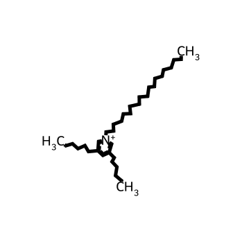 CCCCCCCCCCCCCCCCCCC[n+]1cc(CCCCCC)cc(CCCCCC)c1